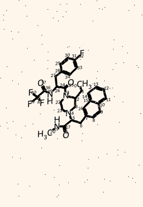 CCC1CN(C(Cc2ccc3ccccc3c2)C(=O)NC)CCN1C(=O)C(Cc1ccc(F)cc1)NC(=O)C(F)(F)F